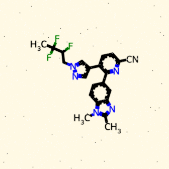 Cc1nc2cc(-c3nc(C#N)ccc3-c3cnn(CC(F)C(C)(F)F)c3)ccc2n1C